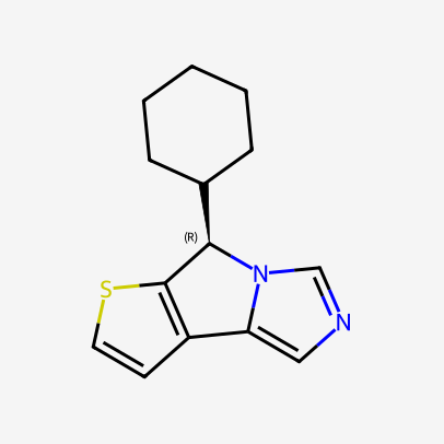 c1cc2c(s1)[C@@H](C1CCCCC1)n1cncc1-2